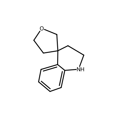 c1ccc2c(c1)NCCC21CCOC1